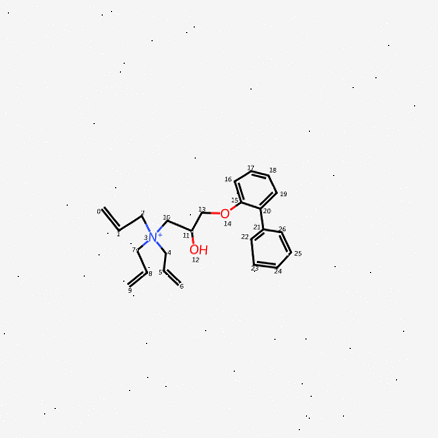 C=CC[N+](CC=C)(CC=C)CC(O)COc1ccccc1-c1ccccc1